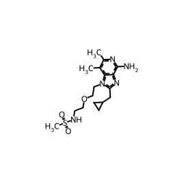 Cc1nc(N)c2nc(CC3CC3)n(CCOCCNS(C)(=O)=O)c2c1C